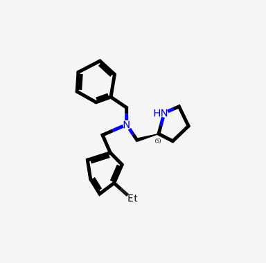 CCc1cccc(CN(Cc2ccccc2)C[C@@H]2CCCN2)c1